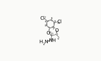 CC(Oc1ccc(Cl)cc1Cl)C(=O)NN